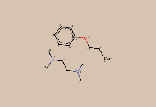 CN(C)CCN(C)C.COCCOc1ccccc1